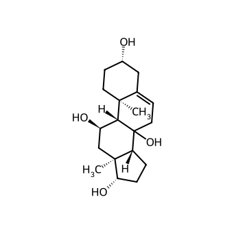 C[C@]12C[C@@H](O)[C@H]3C(O)(CC=C4C[C@@H](O)CC[C@@]43C)[C@@H]1CC[C@@H]2O